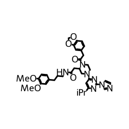 COc1ccc(CCCNC(=O)CC2CN(c3cc(C(C)C)nc(-n4ccnc4)n3)CCN2C(=O)Cc2ccc3c(c2)OCO3)cc1OC